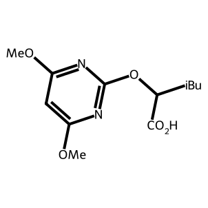 CCC(C)C(Oc1nc(OC)cc(OC)n1)C(=O)O